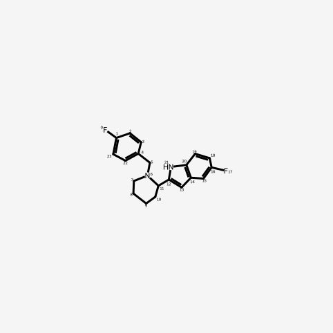 Fc1ccc(CN2CCCCC2c2cc3cc(F)ccc3[nH]2)cc1